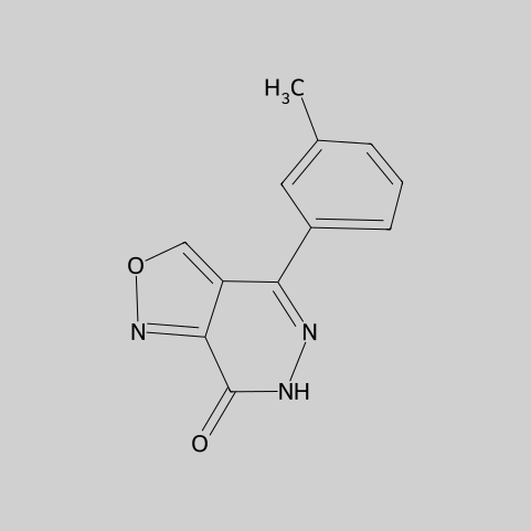 Cc1cccc(-c2n[nH]c(=O)c3nocc23)c1